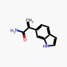 C=C(C(N)=O)c1ccc2cc[nH]c2c1